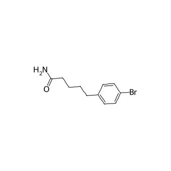 NC(=O)CCCCc1ccc(Br)cc1